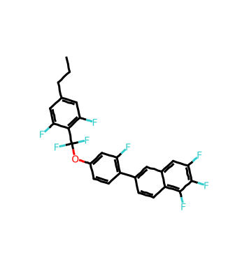 CCCc1cc(F)c(C(F)(F)Oc2ccc(-c3ccc4c(F)c(F)c(F)cc4c3)c(F)c2)c(F)c1